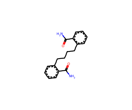 NC(=O)c1ccccc1CCCCc1ccccc1C(N)=O